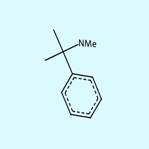 [C]NC(C)(C)c1ccccc1